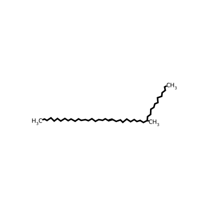 CCCCCCCCCCCCCCCCCCCCC=CCCCCCCCCCC(C)CCCCCCCCCCCC